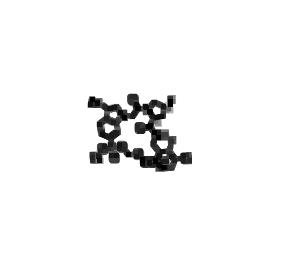 CCOP(=O)(OCOC(=O)O)c1ccc2c(C(C)=O)cn(CC(=O)N3C[C@H](F)C[C@H]3C(=O)NCc3cccc(Cl)c3F)c2c1